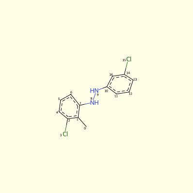 Cc1c(Cl)cccc1NNc1cccc(Cl)c1